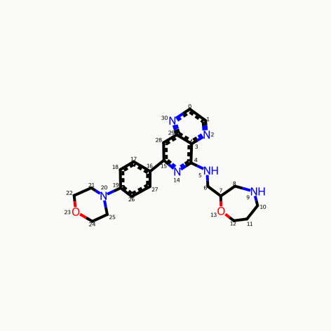 c1cnc2c(NCC3CNCCCO3)nc(-c3ccc(N4CCOCC4)cc3)cc2n1